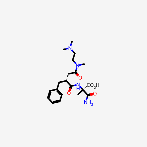 CN(C)CCN(C)C(=O)C[C@@H](Cc1ccccc1)C(=O)N[C@](C)(C(N)=O)C(=O)O